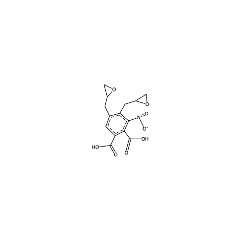 O=C(O)c1cc(CC2CO2)c(CC2CO2)c([N+](=O)[O-])c1C(=O)O